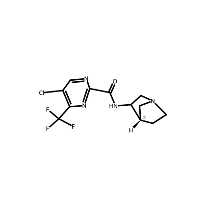 O=C(NC1CN2CC[C@H]1C2)c1ncc(Cl)c(C(F)(F)F)n1